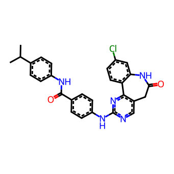 CC(C)c1ccc(NC(=O)c2ccc(Nc3ncc4c(n3)-c3ccc(Cl)cc3NC(=O)C4)cc2)cc1